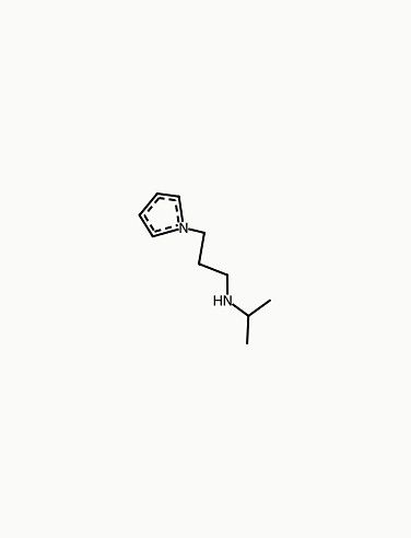 CC(C)NCCCn1cccc1